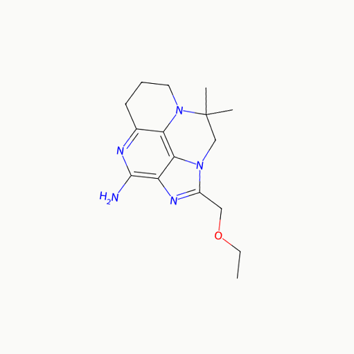 CCOCc1nc2c(N)nc3c4c2n1CC(C)(C)N4CCC3